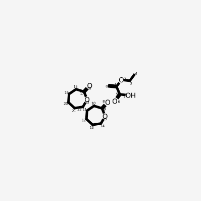 C=C(OCC)C(=O)O.O=C1CCCCCO1.O=C1CCCCCO1